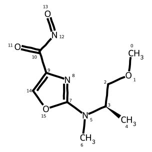 COC[C@@H](C)N(C)c1nc(C(=O)N=O)co1